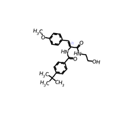 COc1ccc(/C=C(\NC(=O)c2ccc(C(C)(C)C)cc2)C(=O)NCCO)cc1